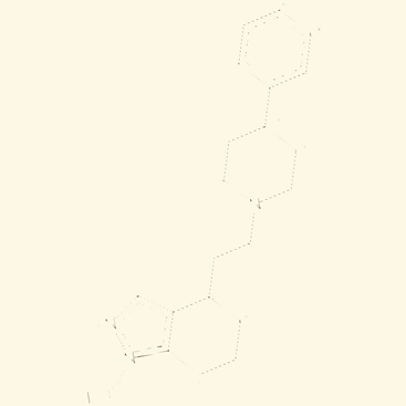 Cn1ncc2c1CCCC2CCN1CCC(c2ccccc2)CC1